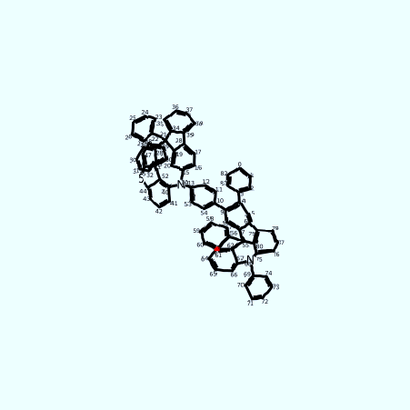 c1ccc(-c2cc3c(cc2-c2ccc(N(c4ccc5c(c4)C(c4ccccc4)(c4ccccc4)c4ccccc4-5)c4cccc5sc6ccccc6c45)cc2)C2(c4ccccc4)c4ccccc4N(c4ccccc4)c4cccc-3c42)cc1